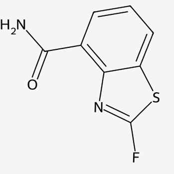 NC(=O)c1cccc2sc(F)nc12